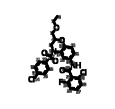 CCOCC1CN(S(=O)(=O)c2ccc(Cl)cc2)c2cc(NC(=O)c3c(F)cccc3Cl)ccc2O1